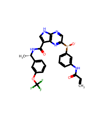 C=CC(=O)Nc1cccc([S+]([O-])c2cnc3[nH]cc(C(=O)N[C@@H](C)c4cccc(OC(F)(F)F)c4)c3n2)c1